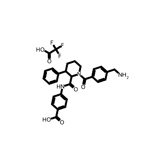 NCc1ccc(C(=O)N2CCCC(c3ccccc3)C2C(=O)Nc2ccc(C(=O)O)cc2)cc1.O=C(O)C(F)(F)F